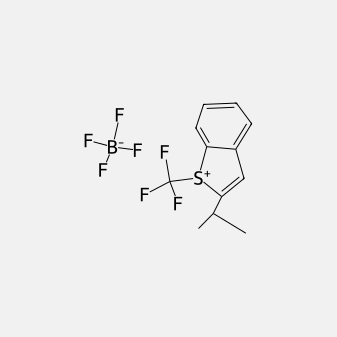 CC(C)c1cc2ccccc2[s+]1C(F)(F)F.F[B-](F)(F)F